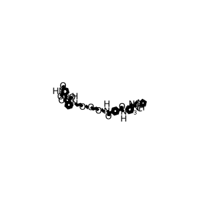 C[C@H]1CCCN1Cc1nc2cc(NC(=O)c3ccc(C(=O)NCCOCCOCCOCCNc4cccc5c4C(=O)N(C4CCC(=O)NC4=O)C5=O)cc3)ccc2[nH]1